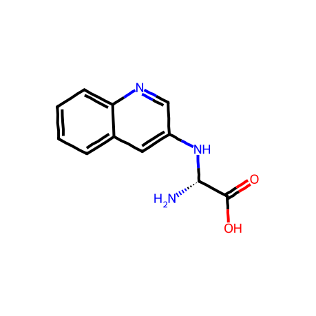 N[C@H](Nc1cnc2ccccc2c1)C(=O)O